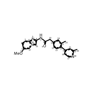 COc1ccc2nc(NC(=O)Cc3ccc(-c4ccnc(C)c4)c(C)c3)cn2c1